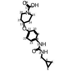 O=C(NCC1CC1)Nc1ccc(OC2CCN(C(=O)O)CC2)cc1